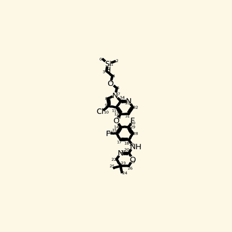 C[SiH](C)CCOCn1cc(Cl)c2c(Oc3c(F)cc(NC4=NCC(C)(C)CO4)cc3F)ccnc21